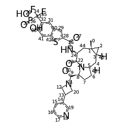 C[C@@]12C[C@@H]1C[C@H]1CC[C@@H](C(=O)N3CC(c4cccnc4)C3)N1C(=O)[C@@H](NC(=O)c1cc3cc(C(F)(F)P(=O)(O)O)ccc3s1)C2